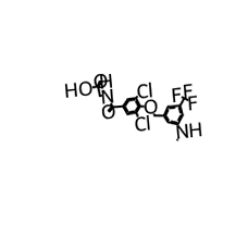 CNc1cc(COc2c(Cl)cc(C(=O)NCC(=O)O)cc2Cl)cc(C(F)(F)F)c1